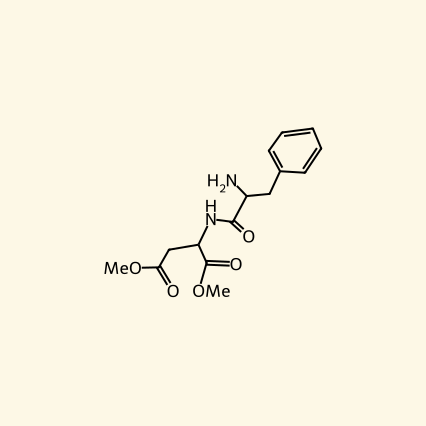 COC(=O)CC(NC(=O)C(N)Cc1ccccc1)C(=O)OC